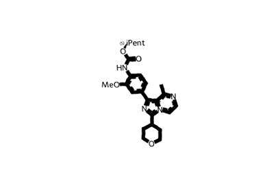 CCC[C@H](C)OC(=O)Nc1ccc(-c2nc(C3CCOCC3)n3ccnc(C)c23)cc1OC